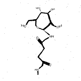 CNC(=O)CCC(=O)N[C@H]1OC(CO)[C@H](O)C(O)C1O